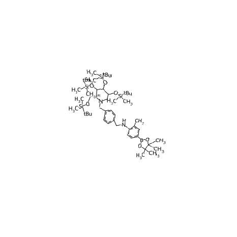 Cc1cc(B2OC(C)(C)C(C)(C)O2)ccc1NCc1ccc(CN2CC(O[Si](C)(C)C(C)(C)C)C(O[Si](C)(C)C(C)(C)C)C(O[Si](C)(C)C(C)(C)C)[C@H]2CO[Si](C)(C)C(C)(C)C)cc1